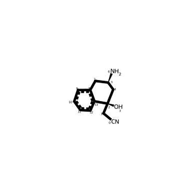 N#CC[C@@]1(O)C[C@H](N)Cc2ccccc21